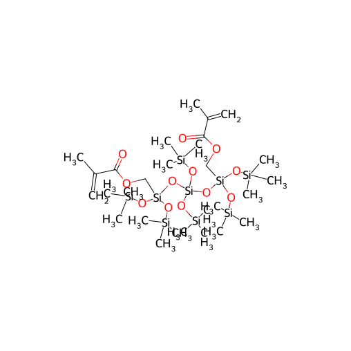 C=C(C)C(=O)OC[Si](O[Si](C)(C)C)(O[Si](C)(C)C)O[Si](O[Si](C)(C)C)(O[Si](C)(C)C)O[Si](COC(=O)C(=C)C)(O[Si](C)(C)C)O[Si](C)(C)C